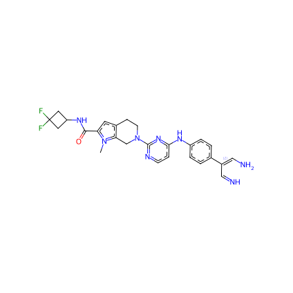 Cn1c(C(=O)NC2CC(F)(F)C2)cc2c1CN(c1nccc(Nc3ccc(/C(C=N)=C/N)cc3)n1)CC2